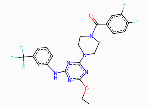 CCOc1nc(Nc2cccc(C(F)(F)F)c2)nc(N2CCN(C(=O)c3ccc(F)c(F)c3)CC2)n1